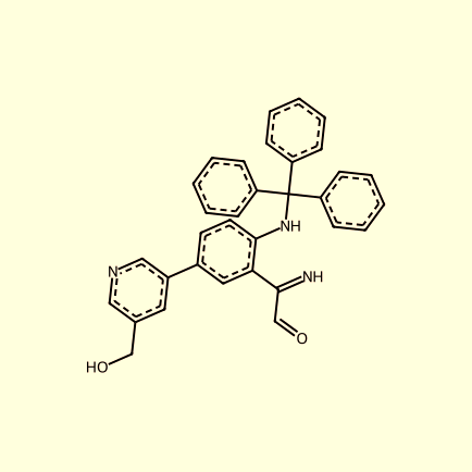 N=C(C=O)c1cc(-c2cncc(CO)c2)ccc1NC(c1ccccc1)(c1ccccc1)c1ccccc1